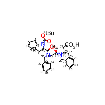 CC(C)(C)OC(=O)N1c2ccccc2C[C@@H]1C(=O)N(CC(=O)N1Cc2ccccc2C[C@@H]1CC(=O)O)Cc1ccccc1